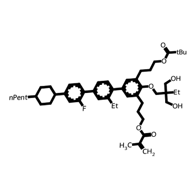 C=C(C)C(=O)OCCCc1cc(-c2ccc(-c3ccc(C4CCC(CCCCC)CC4)cc3F)cc2CC)cc(CCCOC(=O)C(C)(C)C)c1OCC(CC)(CO)CO